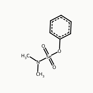 CN(C)[Se](=O)(=O)Oc1ccccc1